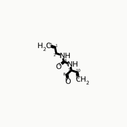 C=CCNC(=O)NC([C]=O)C=C